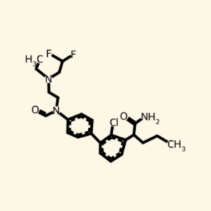 CCCC(C(N)=O)c1cccc(-c2ccc(N(C=O)CCN(CC)CC(F)F)cc2)c1Cl